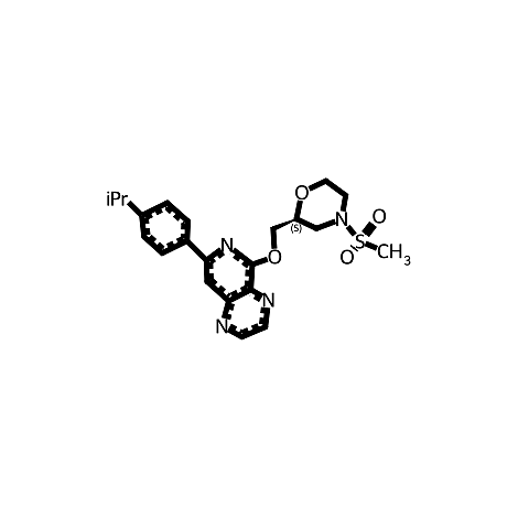 CC(C)c1ccc(-c2cc3nccnc3c(OC[C@@H]3CN(S(C)(=O)=O)CCO3)n2)cc1